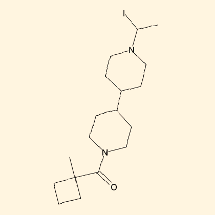 CC(I)N1CCC(C2CCN(C(=O)C3(C)CCC3)CC2)CC1